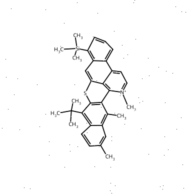 Cc1ccc2c(C(C)(C)C)c3c(c(C)c2c1)-c1c2c(cc4c([Si](C)(C)C)cccc4c2cc[n+]1C)S3